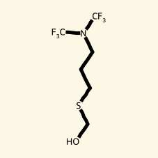 OCSCCCN(C(F)(F)F)C(F)(F)F